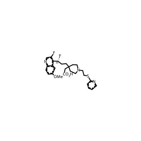 COc1ccc2ncc(F)c([C@H](F)CCC3(CC(=O)O)CCN(CCSc4ccccn4)CC3)c2c1